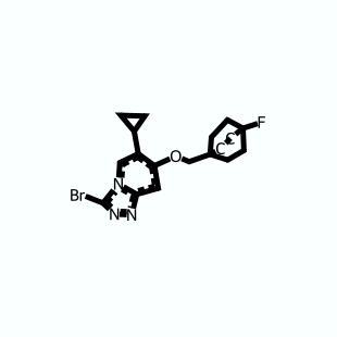 FC12CCC(COc3cc4nnc(Br)n4cc3C3CC3)(CC1)CC2